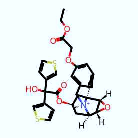 CCOC(=O)COc1cccc(C[N@+]2(C)[C@@H]3C[C@@H](OC(=O)C(O)(c4ccsc4)c4ccsc4)C[C@H]2[C@@H]2O[C@@H]23)c1